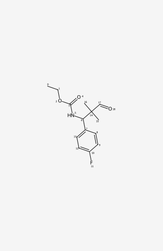 CCOC(=O)NC(c1ccc(F)cc1)C(C)(C)C=O